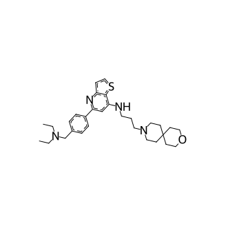 CCN(CC)Cc1ccc(-c2cc(NCCCN3CCC4(CCOCC4)CC3)c3sccc3n2)cc1